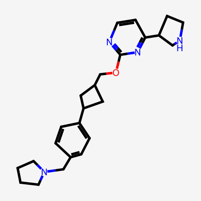 c1cc(C2CCNC2)nc(OCC2CC(c3ccc(CN4CCCC4)cc3)C2)n1